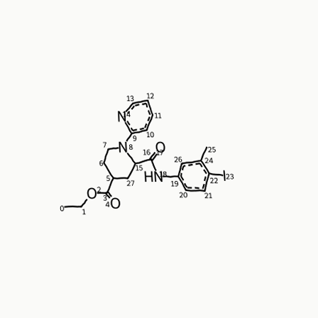 CCOC(=O)C1CCN(c2ccccn2)C(C(=O)Nc2ccc(I)c(C)c2)C1